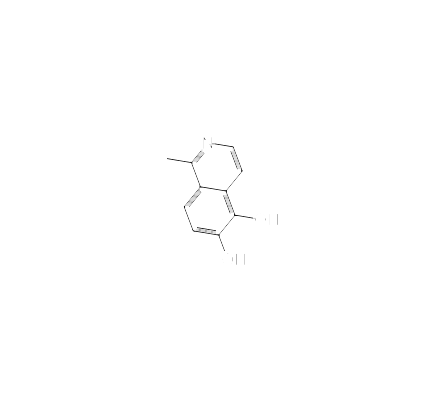 Cc1nccc2c(O)c(O)ccc12